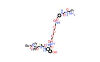 CCCO[C@H](CC(C(C)C)N(CCC)C(=O)C[C@@H](C)CC)c1nc(C(=O)N[C@H]2Cc3ccc(O)cc3[C@H](C(=O)NNC(=O)OCCOCCOCCOCCNC(=O)OCc3ccc(NC(=O)CNC(=O)C(N)C(C)C)cc3)C2)cs1